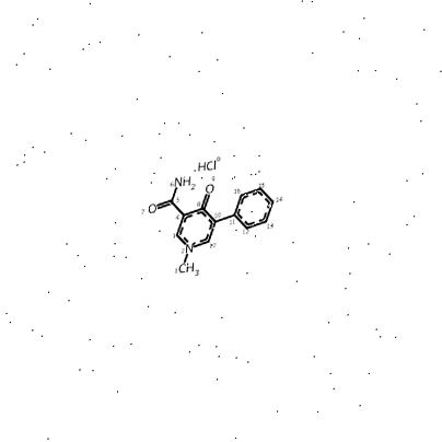 Cl.Cn1cc(C(N)=O)c(=O)c(-c2ccccc2)c1